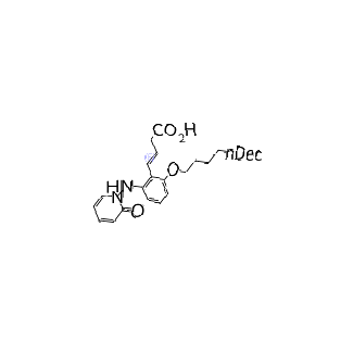 CCCCCCCCCCCCCCOc1cccc(Nn2ccccc2=O)c1/C=C/CC(=O)O